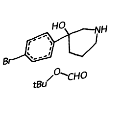 CC(C)(C)OC=O.OC1(c2ccc(Br)cc2)CCCNC1